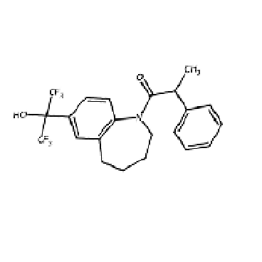 CC(C(=O)N1CCCCc2cc(C(O)(C(F)(F)F)C(F)(F)F)ccc21)c1ccccc1